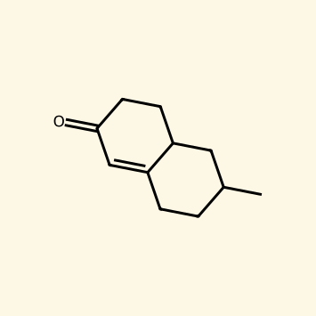 CC1CCC2=CC(=O)CCC2C1